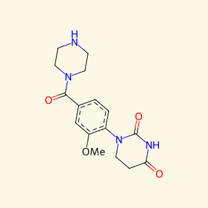 COc1cc(C(=O)N2CCNCC2)ccc1N1CCC(=O)NC1=O